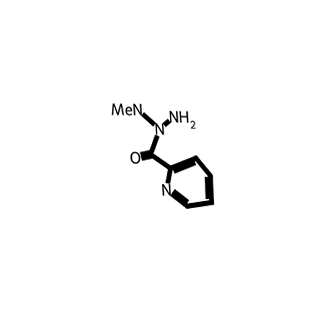 CNN(N)C(=O)c1ccccn1